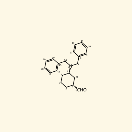 O=C[C@H]1CCC[C@@H](N(Cc2ccccc2)Cc2ccccc2)C1